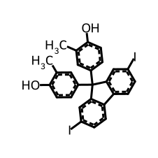 Cc1cc(C2(c3ccc(O)c(C)c3)c3cc(I)ccc3-c3ccc(I)cc32)ccc1O